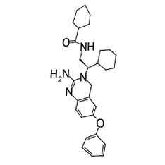 NC1=Nc2ccc(Oc3ccccc3)cc2CN1[C@@H](CNC(=O)C1CCCCC1)C1CCCCC1